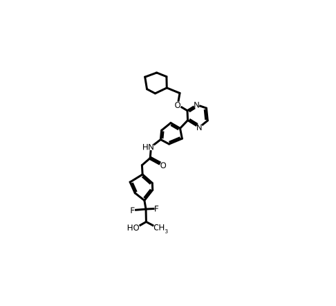 CC(O)C(F)(F)c1ccc(CC(=O)Nc2ccc(-c3nccnc3OCC3CCCCC3)cc2)cc1